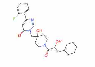 O=C(C(O)CC1CCCCC1)N1CCC(O)(Cn2cnc(-c3ccccc3F)cc2=O)CC1